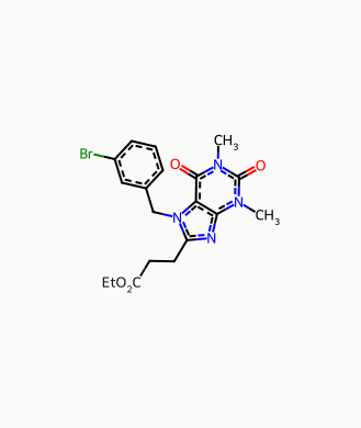 CCOC(=O)CCc1nc2c(c(=O)n(C)c(=O)n2C)n1Cc1cccc(Br)c1